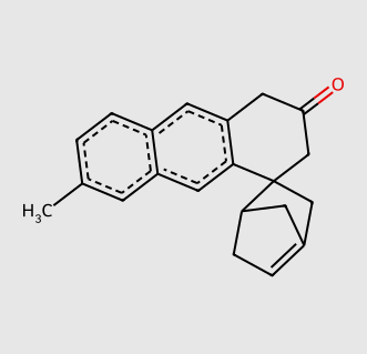 Cc1ccc2cc3c(cc2c1)C1(CC(=O)C3)CC2=CCC1C2